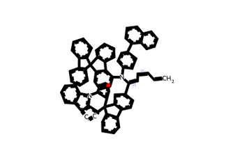 C=C/C=C\C=C(\c1ccc2c(c1)C1(c3ccccc3-2)c2ccccc2-n2c3ccccc3c3cccc1c32)N(c1ccc(-c2cccc3ccccc23)cc1)c1cccc2c1-c1ccccc1C21c2ccccc2-c2ccccc21